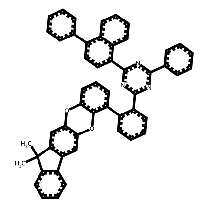 CC1(C)c2ccccc2-c2cc3c(cc21)Oc1cccc(-c2ccccc2-c2nc(-c4ccccc4)nc(-c4ccc(-c5ccccc5)c5ccccc45)n2)c1O3